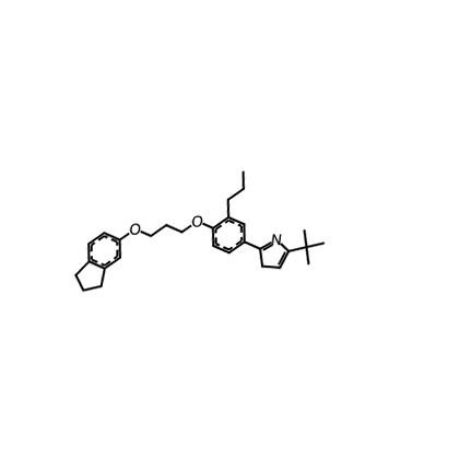 CCCc1cc(C2=NC(C(C)(C)C)=CC2)ccc1OCCCOc1ccc2c(c1)CCC2